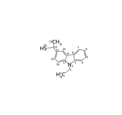 CCn1c2ccccc2c2cc(C(C)S)ccc21